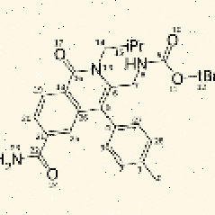 Cc1ccc(-c2c(CNC(=O)OC(C)(C)C)n(CC(C)C)c(=O)c3ccc(C(N)=O)cc23)cc1